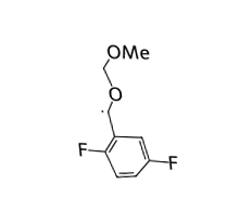 COCO[CH]c1cc(F)ccc1F